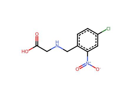 O=C(O)CNCc1ccc(Cl)cc1[N+](=O)[O-]